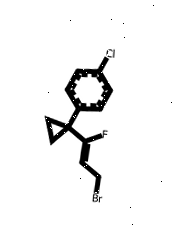 FC(=CCBr)C1(c2ccc(Cl)cc2)CC1